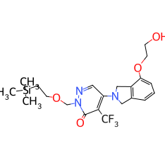 C[Si](C)(C)CCOCn1ncc(N2Cc3cccc(OCCO)c3C2)c(C(F)(F)F)c1=O